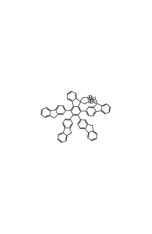 CCC(C)CC1(CC(C)CC)c2ccccc2-c2c(-c3ccc4c(c3)Cc3ccccc3-4)c(-c3ccc4c(c3)Cc3ccccc3-4)c(-c3ccc4c(c3)Cc3ccccc3-4)c(-c3ccc4c(c3)Cc3ccccc3-4)c21